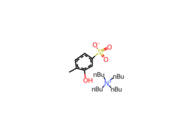 CCCC[N+](CCCC)(CCCC)CCCC.Cc1ccc(S(=O)(=O)[O-])cc1O